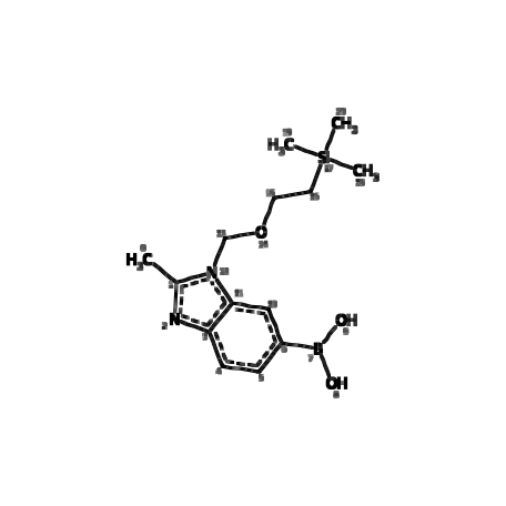 Cc1nc2ccc(B(O)O)cc2n1COCC[Si](C)(C)C